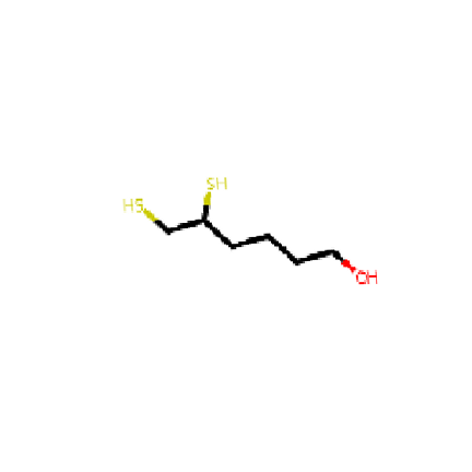 OCCCCC(S)CS